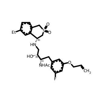 C=CCOc1cc(F)cc(C[C@H](NC(C)=O)[C@H](O)CN[C@H]2CS(=O)(=O)Cc3ccc(CC)cc32)c1